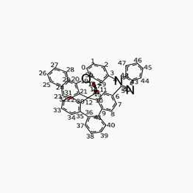 c1ccc(-n2c(-c3ccc4c(c3)C3(c5ccccc5Oc5c3ccc3ccccc53)c3ccccc3-c3ccccc3-4)nc3ccccc32)cc1